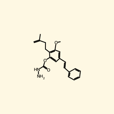 C=C(C)CCc1c(OC)cc(/C=C/c2ccccc2)cc1OC(=O)NN